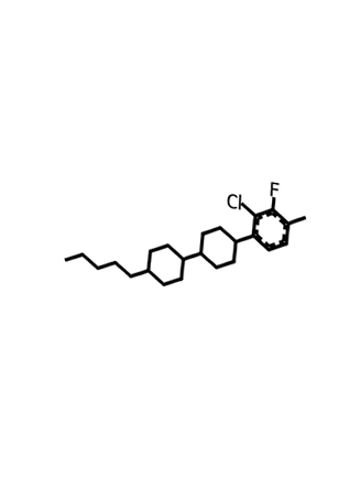 CCCCCC1CCC(C2CCC(c3ccc(C)c(F)c3Cl)CC2)CC1